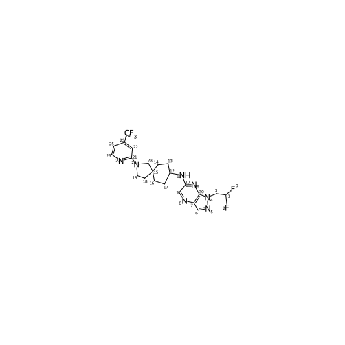 FC(F)Cn1ncc2ncc(NC3CCC4(CC3)CCN(c3cc(C(F)(F)F)ccn3)C4)nc21